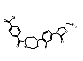 NC[C@H]1CN(c2ccc(N3CCNN(C(=O)c4ccc(C(=O)O)cc4)CC3)c(F)c2)C(=O)O1